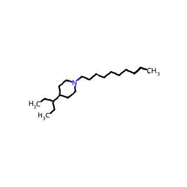 CCCCCCCCCCN1CCC(C(CC)CC)CC1